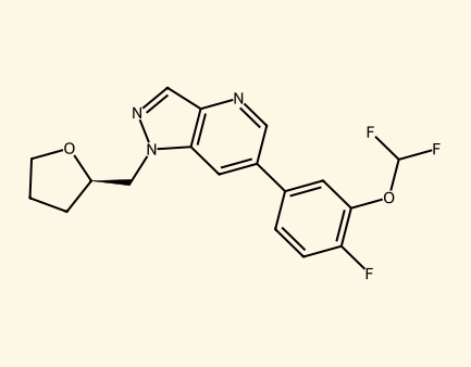 Fc1ccc(-c2cnc3cnn(C[C@H]4CCCO4)c3c2)cc1OC(F)F